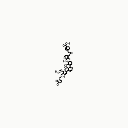 COc1nc(-c2ccnc(-c3cccc(Nc4nccc(CNCC56CCC(C(=O)O)(CC5)C6)c4F)c3Cl)c2Cl)ccc1CNC[C@H]1CCC(=O)N1